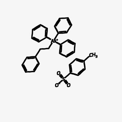 Cc1ccc(S(=O)(=O)[O-])cc1.c1ccc(CC[As+](c2ccccc2)(c2ccccc2)c2ccccc2)cc1